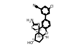 N#Cc1cc(Cl)cc(-c2ccc3c(c2)[C@]2(CSC(N)=N2)[C@H]2C[C@@H](O)CC[C@@H]2O3)c1